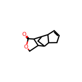 O=C1OCC2C3CC(C4C=CCC43)C12